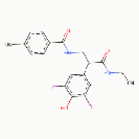 CC(C)(C)c1ccc(C(=O)NCC(C(=O)NCC#N)c2cc(I)c(O)c(I)c2)cc1